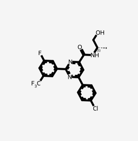 C[C@@H](CO)NC(=O)c1cc(-c2ccc(Cl)cc2)nc(-c2cc(F)cc(C(F)(F)F)c2)n1